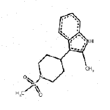 Cc1[nH]c2ccccc2c1C1CCN(S(C)(=O)=O)CC1